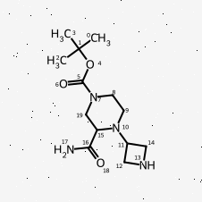 CC(C)(C)OC(=O)N1CCN(C2CNC2)C(C(N)=O)C1